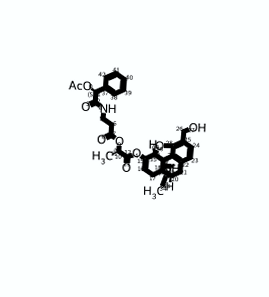 CC(=O)O[C@H](C(=O)NCCC(=O)O[C@@H](C)C(=O)OC1=CC[C@@]2(O)[C@H]3Cc4ccc(CO)c5c4[C@@]2(CCN3C)[C@H]1O5)c1ccccc1